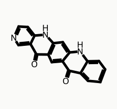 O=c1c2ccccc2[nH]c2cc3[nH]c4ccncc4c(=O)c3cc12